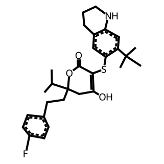 CC(C)C1(CCc2ccc(F)cc2)CC(O)=C(Sc2cc3c(cc2C(C)(C)C)NCCC3)C(=O)O1